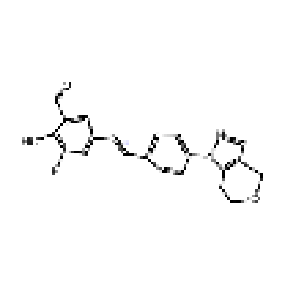 O=Cc1cc(/C=C/c2ccc(-n3ncc4c3CCOC4)cc2)cc(F)c1O